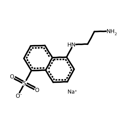 NCCNc1cccc2c(S(=O)(=O)[O-])cccc12.[Na+]